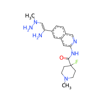 CN(N)/C=C(\N)c1ccc2cnc(NC(=O)C3(F)CCN(C)CC3)cc2c1